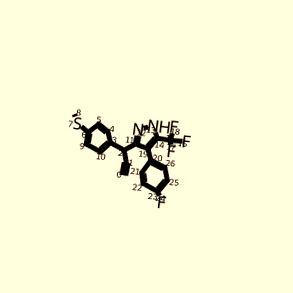 C#CC(c1ccc(SC)cc1)c1n[nH]c(C(F)(F)F)c1-c1ccc(F)cc1